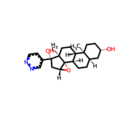 C[C@]12CC[C@H](O)C[C@H]1CC[C@@H]1[C@@H]2CC[C@@]2(C)[C@@]13O[C@@H]3C[C@@]2(O)c1ccnnc1